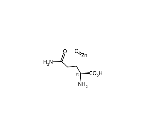 NC(=O)CC[C@H](N)C(=O)O.[O]=[Zn]